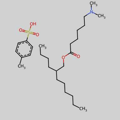 CCCCCCC(CCCC)COC(=O)CCCCCN(C)C.Cc1ccc(S(=O)(=O)O)cc1